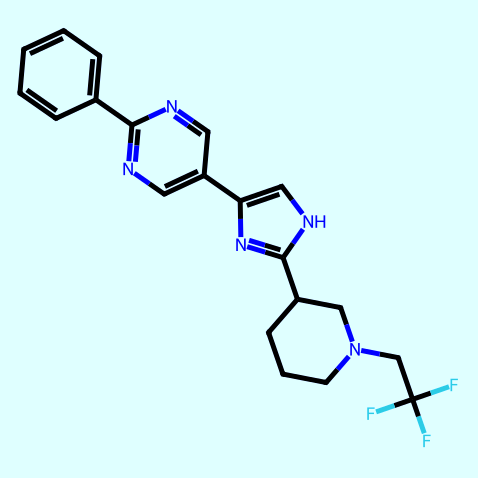 FC(F)(F)CN1CCCC(c2nc(-c3cnc(-c4ccccc4)nc3)c[nH]2)C1